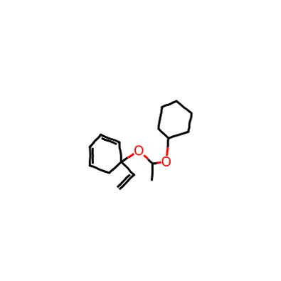 C=CC1(OC(C)OC2CCCCC2)C=CC=CC1